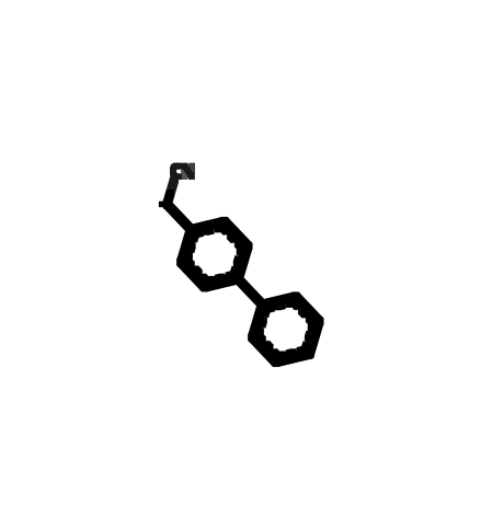 N#C[CH]c1ccc(-c2ccccc2)cc1